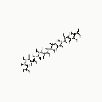 II(I)I(I)I(I)I(I)I(I)I(I)I(I)I(I)I(I)I(I)I(I)I(I)I(I)I(I)I(I)I(I)I(I)I(I)I(I)I(I)I(I)I(I)I(I)I(I)I(I)I(I)I(I)I